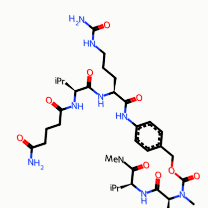 CNC(=O)[C@@H](NC(=O)[C@H](C(C)C)N(C)C(=O)OCc1ccc(NC(=O)[C@H](CCCNC(N)=O)NC(=O)[C@@H](NC(=O)CCCC(N)=O)C(C)C)cc1)C(C)C